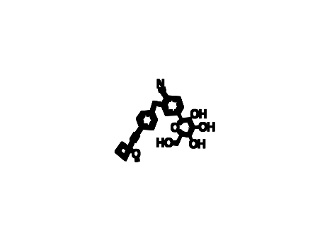 COC1(C#Cc2ccc(Cc3cc([C@@H]4O[C@H](CO)[C@@H](O)[C@H](O)[C@H]4O)ccc3C#N)cc2)CCC1